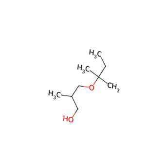 CCC(C)(C)OCC(C)CO